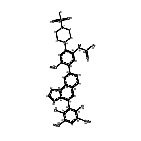 COc1cc(N2CCN(S(C)(=O)=O)CC2)c(NC(=O)C(C)C)cc1-c1cc2c(cn1)cc(-c1c(Cl)c(OC)cc(OC)c1Cl)c1nccn12